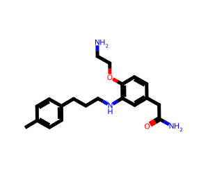 Cc1ccc(CCCNc2cc(CC(N)=O)ccc2OCCN)cc1